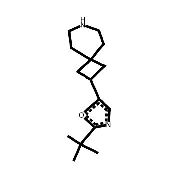 CC(C)(C)c1ncc(C2CC3(CCNCC3)C2)o1